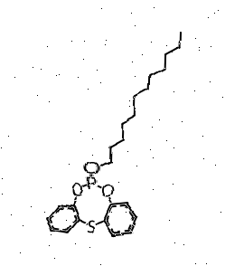 CCCCCCCCCCCCOP1Oc2ccccc2Sc2ccccc2O1